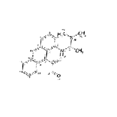 CC(Nc1cccc2cc3ccccc3c(C(=O)C=O)c12)N(C)C